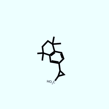 CC1(C)CCC(C)(C)c2cc(C3CC3C(=O)O)ccc21